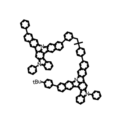 CC(C)(C)c1ccc(-c2ccc3cc4c5c6c7ccccc7n(-c7ccccc7)c6cc6c7cc8ccc(-c9ccc(C(C)(C)Cc%10cccc(-c%11ccc%12cc%13c%14c%15c%16ccccc%16n(-c%16ccccc%16)c%15cc%15c%16cc%17ccc(-c%18ccccc%18)cc%17cc%16n(c%13cc%12c%11)c%15%14)c%10)cc9)cc8cc7n(c4cc3c2)c65)cc1